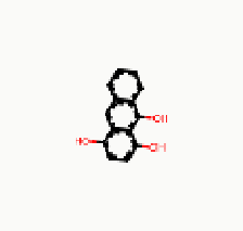 Oc1ccc(O)c2c(O)c3ccccc3cc12